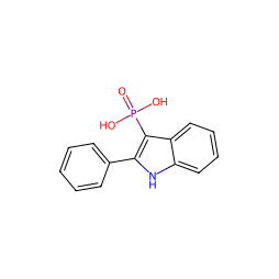 O=P(O)(O)c1c(-c2ccccc2)[nH]c2ccccc12